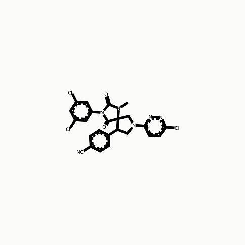 CN1C(=O)N(c2cc(Cl)cc(Cl)c2)C(=O)C12CN(c1ccc(Cl)nn1)CC2c1ccc(C#N)cc1